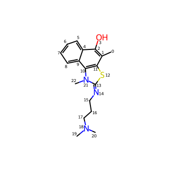 Cc1c(O)c2ccccc2c2c1sc(=NCCCN(C)C)n2C